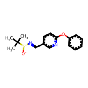 CC(C)(C)[S+]([O-])/N=C/c1ccc(Oc2ccccc2)nc1